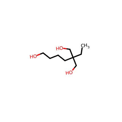 CCC(CO)(CO)CCCCO